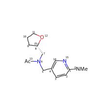 CNc1ccc(CN(C[C@@H]2CCCO2)C(C)=O)cn1